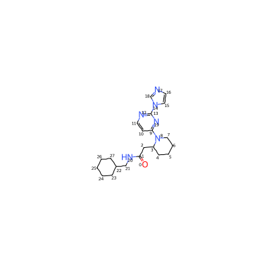 O=C(CC1CCCCN1c1ccnc(-n2ccnc2)n1)NCC1CCCCC1